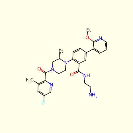 CCOc1ncccc1-c1ccc(N2CCN(C(=O)c3ncc(F)cc3C(F)(F)F)C[C@H]2CC)c(C(=O)NCCN)c1